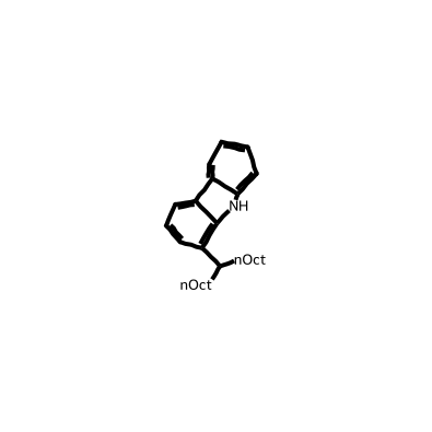 CCCCCCCCC(CCCCCCCC)c1cccc2c1[nH]c1ccccc12